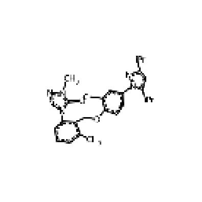 Cc1cccc(-n2nnn(C)c2=O)c1COc1ccc(-n2nc(C(C)C)cc2C(C)C)cc1Cl